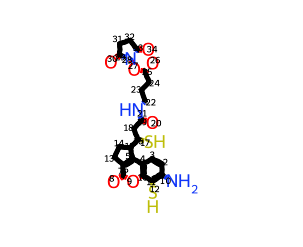 Nc1ccc2c3c(c(=O)oc2c1S)CCC3C(S)CC(=O)NCCCC(=O)ON1C(=O)CCC1=O